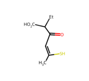 CCC(C(=O)O)C(=O)C=C(C)S